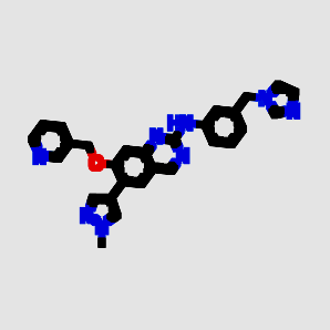 Cn1cc(-c2cc3cnc(Nc4cccc(Cn5ccnc5)c4)nc3cc2OCc2cccnc2)cn1